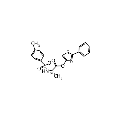 Cc1ccc(S(=O)(=O)N[C@@H](C)C(=O)Oc2csc(-c3ccccc3)n2)cc1